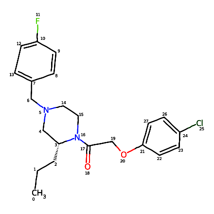 CCC[C@@H]1CN(Cc2ccc(F)cc2)CCN1C(=O)COc1ccc(Cl)cc1